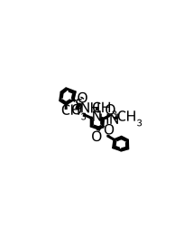 CNC(=O)c1c(OCc2ccccc2)c(=O)cc(CNS(=O)(=O)c2ccccc2C)n1C